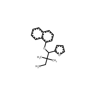 CC(C)(CN)C(Oc1cccc2ccccc12)c1ccco1